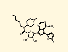 C/C=C/CCN(C(=O)[C@H]1O[C@@H](n2cc(-c3ccn(C)n3)c3c(N)ncnc32)[C@H](O)[C@@H]1O)C1CCN(C)CC1